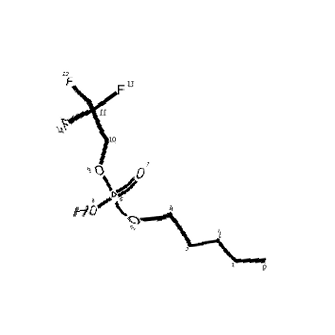 CCCCCOP(=O)(O)OCC(F)(F)F